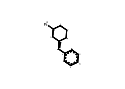 CCC1CCC/C(=C\c2ccccc2)C1